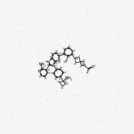 CC(=O)N1CC2(C1)CN(c1cccc(-c3ccc4nc(-c5cccnc5N)n(-c5ccc(C6(N)CCC6)cc5)c4n3)c1F)C2